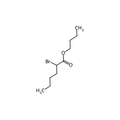 CCCCOC(=O)C(Br)CCCC